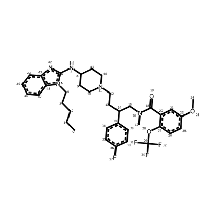 CCCCCn1c(NC2CCN(CCC(CN(C)C(=O)c3cc(OC)ccc3OC(F)(F)F)c3ccc(F)cc3)CC2)nc2ccccc21